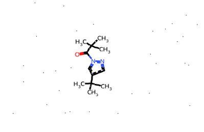 CC(C)(C)C(=O)n1cc(C(C)(C)C)cn1